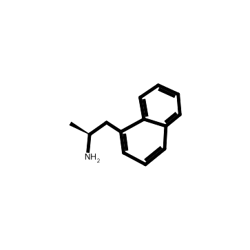 C[C@H](N)Cc1cccc2ccccc12